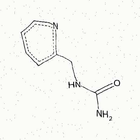 NC(=O)NCc1ccccn1